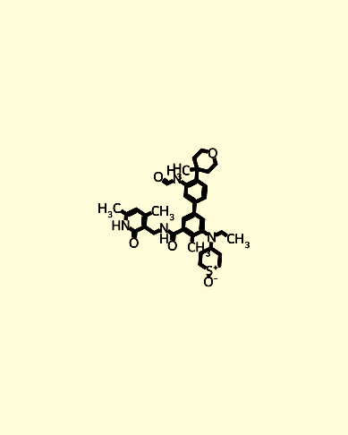 CCN(c1cc(-c2ccc(C3(C)CCOCC3)c(NC=O)c2)cc(C(=O)NCc2c(C)cc(C)[nH]c2=O)c1C)C1CC[S+]([O-])CC1